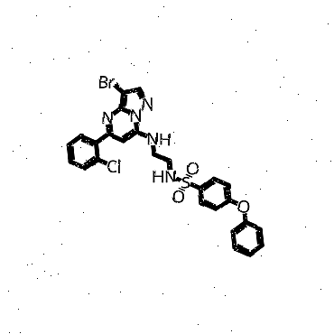 O=S(=O)(NCCNc1cc(-c2ccccc2Cl)nc2c(Br)cnn12)c1ccc(Oc2ccccc2)cc1